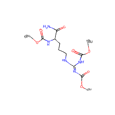 CC(C)(C)OC(=O)/N=C(/NCCCC(NC(=O)OC(C)(C)C)C(N)=O)NC(=O)OC(C)(C)C